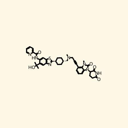 CN(CC#Cc1cccc2c1n(C)c(=O)n2C1CCC(=O)NC1=O)C[C@H]1CC[C@H](c2nc3cc(C(C)(C)O)c(NC(=O)c4ccccn4)cc3s2)CC1